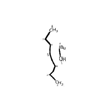 CC(C)(C)O.CCCCCCC